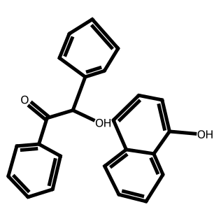 O=C(c1ccccc1)C(O)c1ccccc1.Oc1cccc2ccccc12